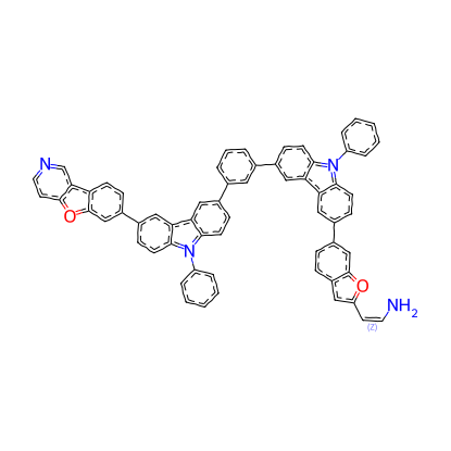 N/C=C\c1cc2ccc(-c3ccc4c(c3)c3cc(-c5cccc(-c6ccc7c(c6)c6cc(-c8ccc9c(c8)oc8ccncc89)ccc6n7-c6ccccc6)c5)ccc3n4-c3ccccc3)cc2o1